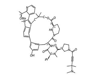 CO[C@@H](C)c1ncccc1-c1c2c3cc(ccc3n1C)-c1cc(O)cc(c1)C[C@H](NC(=O)[C@H](C(C)C)N(C)C(=O)[C@H]1CCN(C(=O)C#CC(C)(C)N(C)C)C1)C(=O)N1CCC[C@H](N1)C(=O)OCC(C)(C)C2